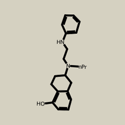 CCCN(CCNc1ccccc1)C1CCc2c(O)cccc2C1